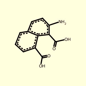 Nc1ccc2cccc(C(=O)O)c2c1C(=O)O